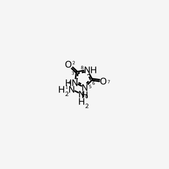 NN.O=c1[nH][nH]c(=O)[nH]1